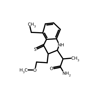 CCc1cccc2c1C(=S)C(CCOC)C(C(C)C(N)=O)N2